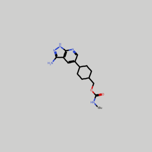 CC(C)(C)NC(=O)OCC1CCC(c2cnc3[nH]nc(N)c3c2)CC1